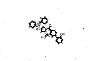 COc1ccccc1-c1ccc(C(=O)N2[C@H](C(=O)O)C[C@H](S(=O)(=O)c3ccccc3)[C@@H]2c2ccccc2Cl)cc1